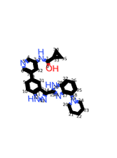 OC(Nc1cncc(-c2ccc3[nH]nc(-c4nc5c(N6CCCCC6)cccc5[nH]4)c3c2)c1)C1CC1